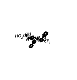 O=C(NC[C@@H](O)C(=O)O)c1ccc(CN(C(=O)Nc2ccc(OC(F)(F)F)c(-c3nc4ccccc4s3)c2)c2ccc(C3CCCCC3)cc2)cc1